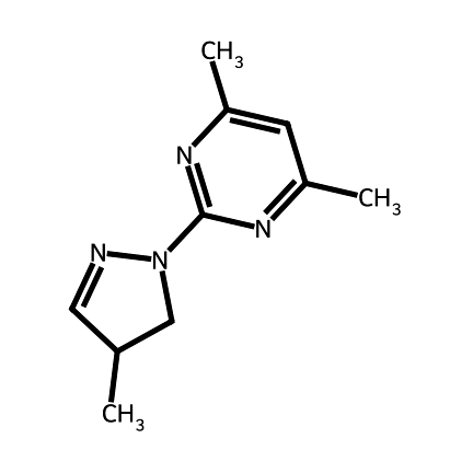 Cc1cc(C)nc(N2CC(C)C=N2)n1